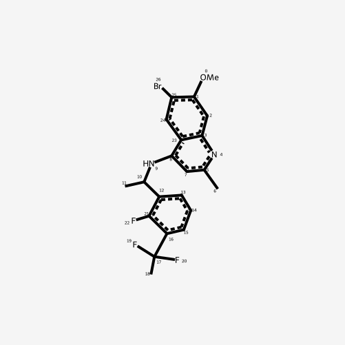 COc1cc2nc(C)cc(NC(C)c3cccc(C(C)(F)F)c3F)c2cc1Br